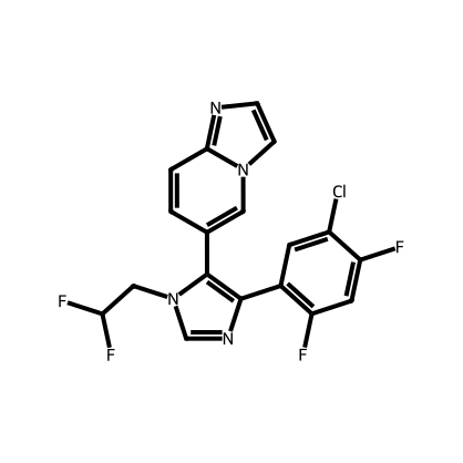 Fc1cc(F)c(-c2ncn(CC(F)F)c2-c2ccc3nccn3c2)cc1Cl